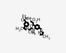 CCNC(=O)c1ccc2c(c1)c(C)cn2C(C)C(=O)Nc1cc(Cn2cc(C)cn2)ccc1CCCC(=O)O